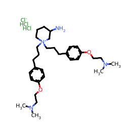 CN(C)CCOc1ccc(CCC[N+]2(CCCc3ccc(OCCN(C)C)cc3)CCCC(N)C2)cc1.Cl.Cl.[Cl-]